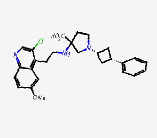 COc1ccc2ncc(Cl)c(CCNC3(C(=O)O)CCN([C@H]4C[C@@H](c5ccccc5)C4)C3)c2c1